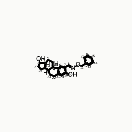 C[C@]12CC[C@@H]3c4cc(C=NOCc5ccccc5)c(O)cc4CC[C@H]3[C@@H]1CC[C@@H]2O